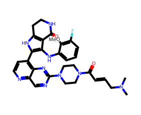 COc1c(F)cccc1Nc1c(-c2ccnc3cnc(N4CCN(C(=O)/C=C/CN(C)C)CC4)nc23)[nH]c2c1C(=O)NCC2